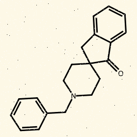 O=C1c2ccccc2CC12CCN(Cc1ccccc1)CC2